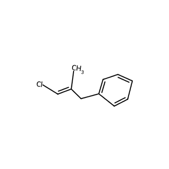 C/C(=C\Cl)Cc1ccccc1